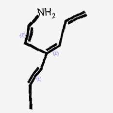 C=C/C=C(\C=C/N)/C=C/C